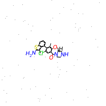 Cc1c2c(cc(Cl)c1-c1cccc3sc(N)c(C)c13)C(=O)N1CCNC[C@@H]1CO2